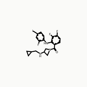 O=C(c1ccc(F)c(F)c1Nc1ccc(I)cc1F)N1CC(NCC2CC2)C1